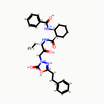 CC(C)C[C@H](NC(=O)[C@@H]1CCCC[C@@H]1NC(=O)c1ccccc1)C(=O)Cn1nc(CCc2ccccc2)oc1=O